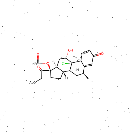 CCCC(=O)O[C@]1(C(=O)COC(C)=O)CC[C@H]2[C@@H]3C[C@H](C)C4=CC(=O)C=C[C@]4(C)[C@@]3(Cl)[C@@H](O)C[C@@]21C